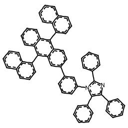 c1ccc(-c2nc(-c3ccccc3)n(-c3cccc(-c4ccc5c(-c6cccc7ccccc67)c6ccccc6c(-c6cccc7ccccc67)c5c4)c3)c2-c2ccccc2)cc1